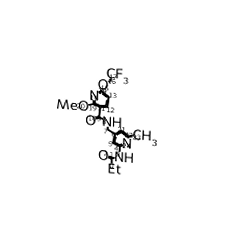 CCC(=O)Nc1cc(CNC(=O)c2ccc(OCC(F)(F)F)nc2OC)cc(C)n1